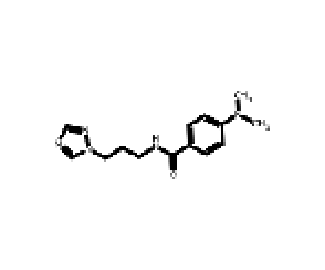 CN(C)c1ccc(C(=O)NCCCn2cncn2)cc1